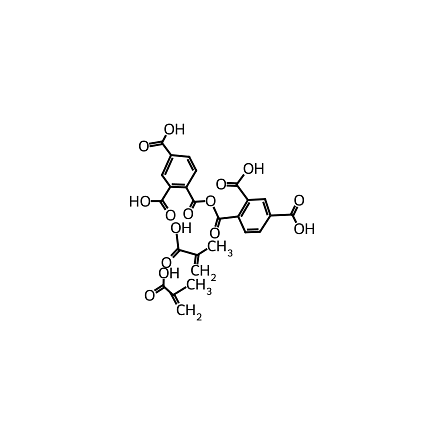 C=C(C)C(=O)O.C=C(C)C(=O)O.O=C(O)c1ccc(C(=O)OC(=O)c2ccc(C(=O)O)cc2C(=O)O)c(C(=O)O)c1